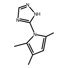 Cc1cc(C)n(-c2ncn[nH]2)c1C